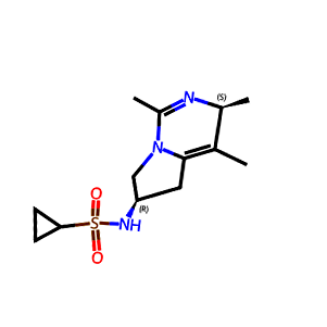 CC1=N[C@@H](C)C(C)=C2C[C@@H](NS(=O)(=O)C3CC3)CN12